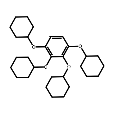 [c]1cc(OC2CCCCC2)c(OC2CCCCC2)c(OC2CCCCC2)c1OC1CCCCC1